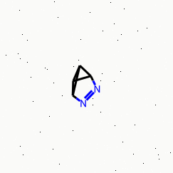 N1=NC2C3C1C23